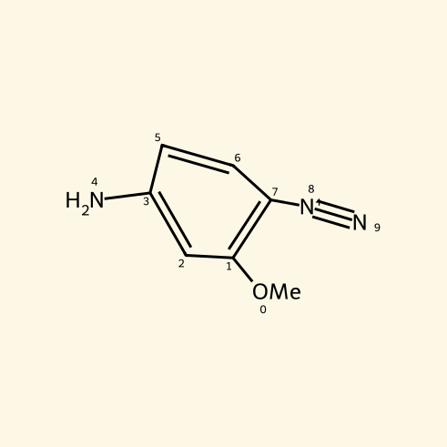 COc1cc(N)ccc1[N+]#N